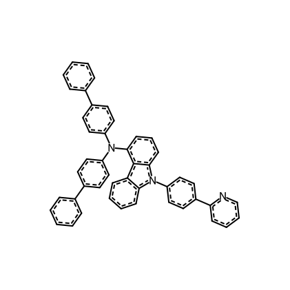 c1ccc(-c2ccc(N(c3ccc(-c4ccccc4)cc3)c3cccc4c3c3ccccc3n4-c3ccc(-c4ccccn4)cc3)cc2)cc1